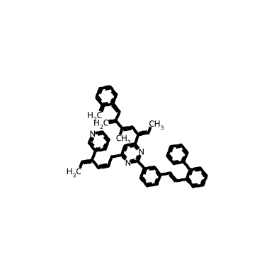 C=C(/C=c1/ccccc1=C)/C(C)=C/C(=C\C)c1cc(C/C=C\C(=C/C)c2cccnc2)nc(-c2cccc(/C=C/c3ccccc3-c3ccccc3)c2)n1